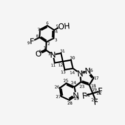 O=C(c1cc(O)ccc1F)N1CC2(CC(n3ncc(C(F)(F)F)c3-c3ccccn3)C2)C1